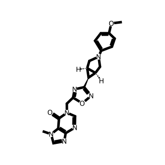 COc1ccc(N2C[C@@H]3[C@H](C2)[C@@H]3c2noc(Cn3cnc4ncn(C)c4c3=O)n2)cc1